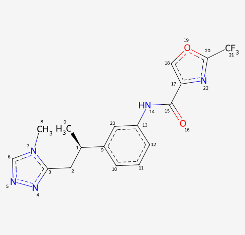 C[C@H](Cc1nncn1C)c1cccc(NC(=O)c2coc(C(F)(F)F)n2)c1